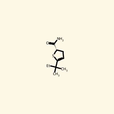 CCC(C)(C)C1=CC[C@@H](C(N)=O)S1